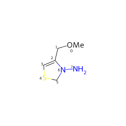 COCC1=CSCN1N